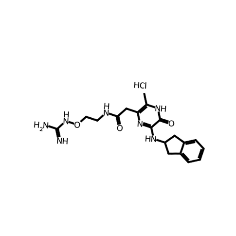 Cc1[nH]c(=O)c(NC2Cc3ccccc3C2)nc1CC(=O)NCCONC(=N)N.Cl